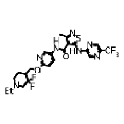 CCN1CCC(COc2ccc(NC(=O)c3c(C)nsc3Nc3cnc(C(F)(F)F)cn3)cn2)C(F)(F)C1